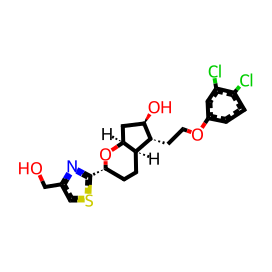 OCc1csc([C@H]2CC[C@@H]3[C@@H](CCOc4ccc(Cl)c(Cl)c4)[C@H](O)C[C@@H]3O2)n1